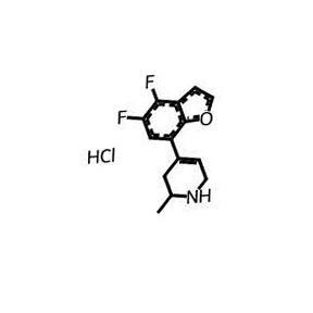 CC1CC(c2cc(F)c(F)c3ccoc23)=CCN1.Cl